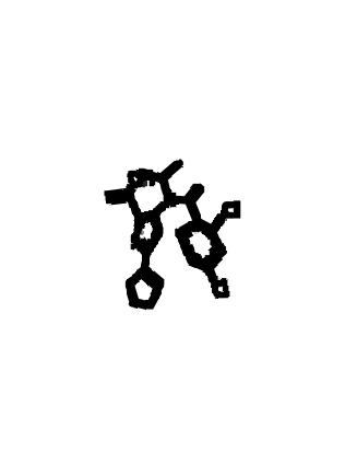 C=C(O)c1sc(C2=CCCC2)cc1N(C(=C)c1ccc(Cl)cc1Cl)C(C)C